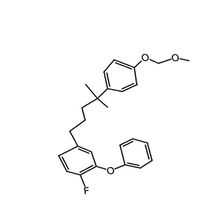 COCOc1ccc(C(C)(C)CCCc2ccc(F)c(Oc3ccccc3)c2)cc1